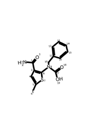 NC(=O)c1cc(I)sc1N(Cc1ccccc1)C(=O)O